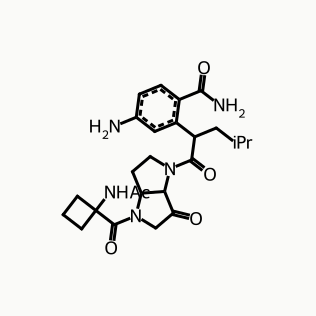 CC(=O)NC1(C(=O)N2CC(=O)C3C2CCN3C(=O)C(CC(C)C)c2cc(N)ccc2C(N)=O)CCC1